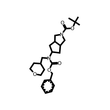 CC(C)(C)OC(=O)N1CC2CC(N(CC3CCOCC3)C(=O)OCc3ccccc3)CC2C1